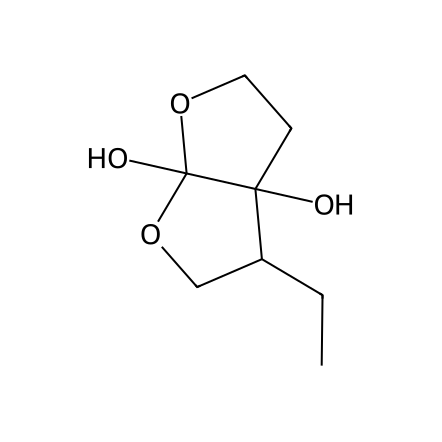 CCC1COC2(O)OCCC12O